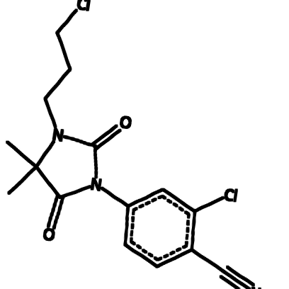 CC1(C)C(=O)N(c2ccc(C#N)c(Cl)c2)C(=O)N1CCCCl